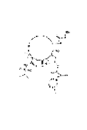 Cc1ccc2nc(O[C@@H]3C[C@H]4C(=O)N[C@]5(C(=O)NS(=O)(=O)N(C)C)C[C@H]5/C=C\CCCCC[C@H](NC(=O)OC(C)(C)C)C(=O)N4C3)n(C(C)C)c2c1